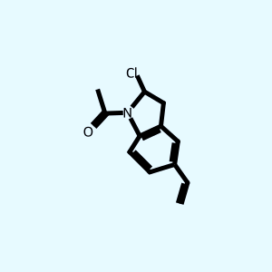 C=Cc1ccc2c(c1)CC(Cl)N2C(C)=O